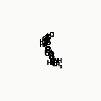 CNC(=N)c1ccc2c(=O)n(-c3ccc(NC(=O)NS(=O)(=O)c4ccc(Cl)s4)cc3F)ccc2c1